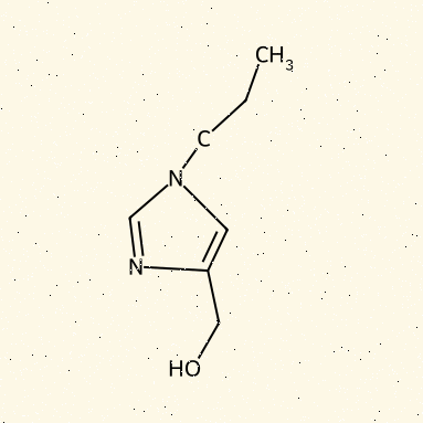 CCCn1cnc(CO)c1